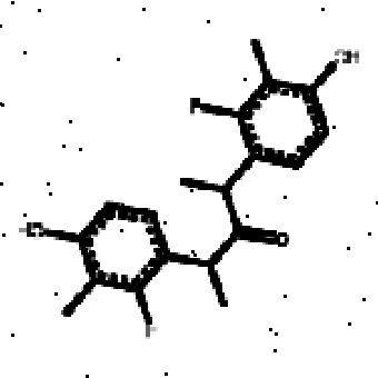 Cc1c(O)ccc(C(C)C(=O)C(C)c2ccc(O)c(C)c2F)c1F